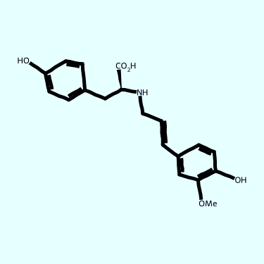 COc1cc(C=CCN[C@@H](Cc2ccc(O)cc2)C(=O)O)ccc1O